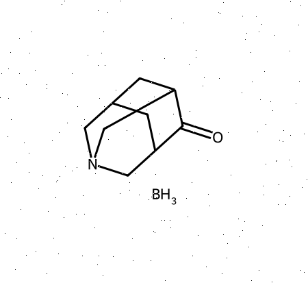 B.O=C1C2CC3CC1CN(C3)C2